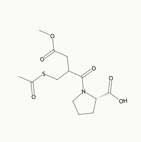 COC(=O)CC(CSC(C)=O)C(=O)N1CCC[C@H]1C(=O)O